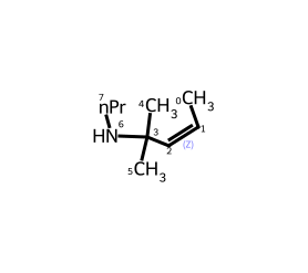 C/C=C\C(C)(C)NCCC